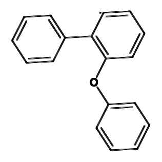 [c]1cccc(Oc2ccccc2)c1-c1ccccc1